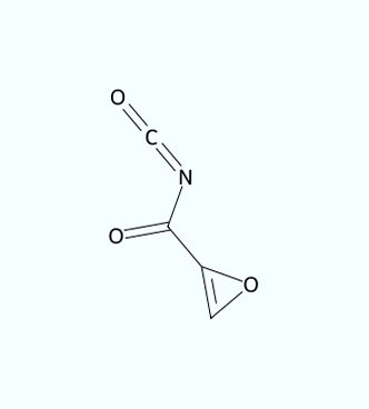 O=C=NC(=O)C1=CO1